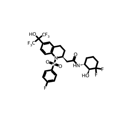 O=C(C[C@@H]1CCc2cc(C(O)(C(F)(F)F)C(F)(F)F)ccc2N1S(=O)(=O)c1ccc(F)cc1)N[C@@H]1CCCC(F)(F)[C@H]1O